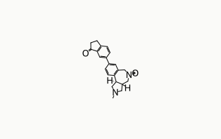 CN1C[C@H]2C[N+](=O)Cc3cc(-c4ccc5c(c4)C(=O)CC5)ccc3[C@@H]2C1